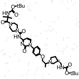 CC(COc1ccc(-n2ccc(NC(=O)N3CCN(C(=O)C(C)(C)NC(=O)OC(C)(C)C)CC3)nc2=O)cc1)N1CC[C@@H](CNC(=O)OC(C)(C)C)C1